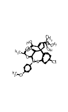 COc1ccc(N2Sc3cc(Cl)ccc3C(CCN(C)C)(/C(=C\C(=O)O)C(=O)O)C(=O)C2OC(C)=O)cc1